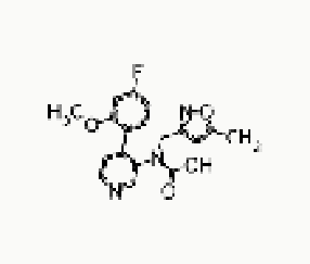 COc1cc(F)ccc1-c1ccncc1N(Cc1cc(C)on1)C(=O)O